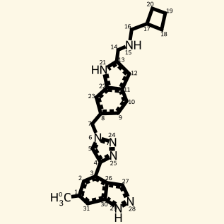 Cc1cc(-c2cn(Cc3ccc4cc(CNCC5CCC5)[nH]c4c3)nn2)c2cn[nH]c2c1